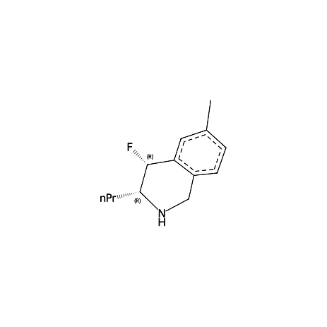 CCC[C@H]1NCc2ccc(C)cc2[C@H]1F